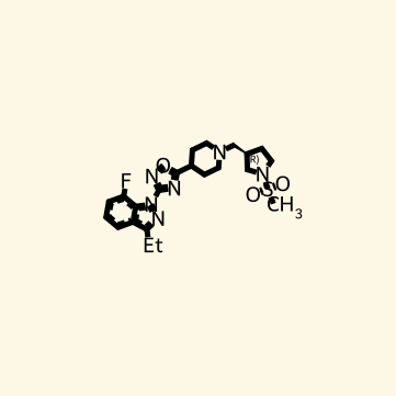 CCc1nn(-c2noc(C3CCN(C[C@H]4CCN(S(C)(=O)=O)C4)CC3)n2)c2c(F)cccc12